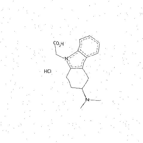 CN(C)C1CCc2c(c3ccccc3n2CC(=O)O)C1.Cl